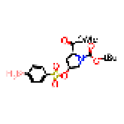 Bc1ccc(S(=O)(=O)OC2C[C@@H](C(=O)OC)N(C(=O)OC(C)(C)C)C2)cc1